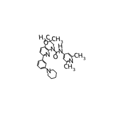 Cc1cc(NC(=O)N2CC(C)(C)Oc3ccc(-c4cccc(N5CCCCC5)c4)nc32)cc(C)n1